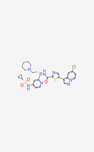 O=C(N[C@@H](CCN1CCCCC1)c1cc(NS(=O)(=O)C2CC2)ccn1)c1ncc(-c2cnn3ccc(Cl)cc23)s1